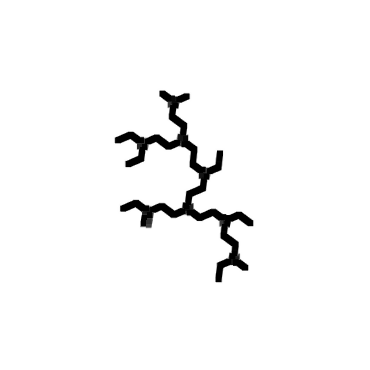 CCNCCN(CCN(CC)CCN(C)CC)CCN(CC)CCN(CCN(C)C)CCN(CC)CC